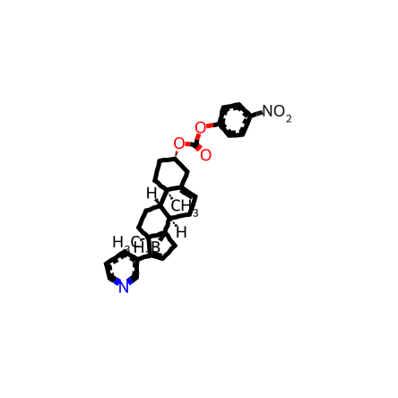 BC12CC=C(c3cccnc3)[C@@]1(C)CC[C@H]1[C@H]2CC=C2C[C@@H](OC(=O)Oc3ccc([N+](=O)[O-])cc3)CC[C@@]21C